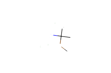 CS[C](C)(N)[Sn+3].[Br-].[Br-].[Br-]